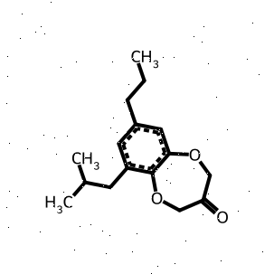 CCCc1cc(CC(C)C)c2c(c1)OCC(=O)CO2